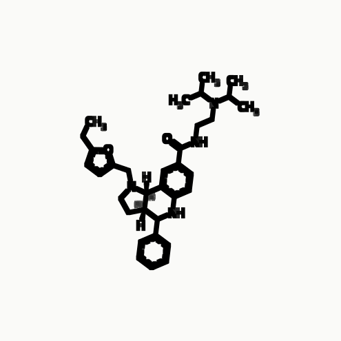 CCc1ccc(CN2CC[C@H]3C(c4ccccc4)Nc4ccc(C(=O)NCCN(C(C)C)C(C)C)cc4[C@H]32)o1